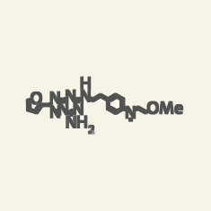 COCCN(C)c1ccc(CCNc2nc(N)n3nc(-c4ccco4)nc3n2)cc1